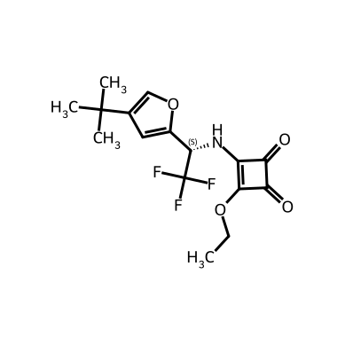 CCOc1c(N[C@@H](c2cc(C(C)(C)C)co2)C(F)(F)F)c(=O)c1=O